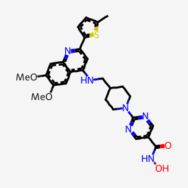 COc1cc2nc(-c3ccc(C)s3)cc(NCC3CCN(c4ncc(C(=O)NO)cn4)CC3)c2cc1OC